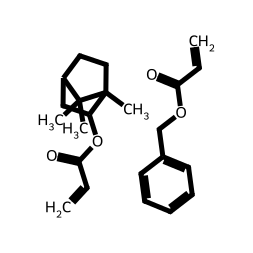 C=CC(=O)OC1CC2CCC1(C)C2(C)C.C=CC(=O)OCc1ccccc1